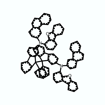 c1ccc(C2(C3(c4ccccc4)c4ccccc4-c4ccc(N(c5ccc6ccc7ccccc7c6c5)c5cccc6c5oc5ccccc56)cc43)c3ccccc3-c3ccc(N(c4ccc5ccc6ccccc6c5c4)c4cccc5c4oc4ccccc45)cc32)cc1